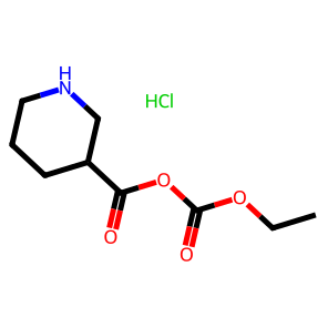 CCOC(=O)OC(=O)C1CCCNC1.Cl